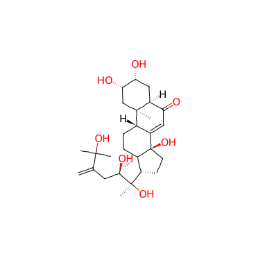 C=C(C[C@@H](O)[C@](C)(O)[C@H]1CC[C@@]2(O)C3=CC(=O)[C@@H]4C[C@@H](O)[C@@H](O)C[C@]4(C)[C@H]3CC[C@]12C)C(C)(C)O